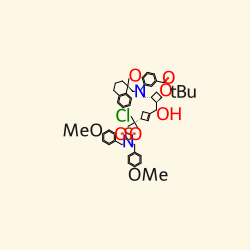 COc1ccc(CN(Cc2ccc(OC)cc2)S(=O)(=O)CC(C)(C)[C@H]2C=C([C@@H](O)[C@@H]3CC[C@H]3CN3C[C@@]4(CCCc5cc(Cl)ccc54)COc4ccc(C(=O)OC(C)(C)C)cc43)C2)cc1